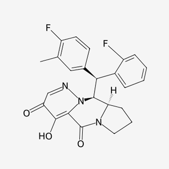 Cc1cc([C@@H](c2ccccc2F)[C@H]2[C@H]3CCCN3C(=O)c3c(O)c(=O)cnn32)ccc1F